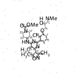 CNCC(O)COc1cccc(-c2nc(NC3CCN(C(=O)OC)CC3)c(C)c(-c3c(C)noc3C)n2)c1Cl